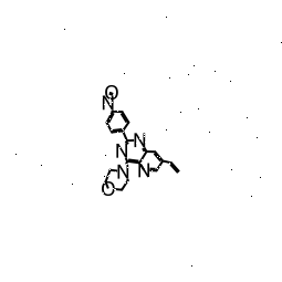 C=Cc1cnc2c(N3CCOCC3)nc(-c3ccc(N=O)cc3)nc2c1